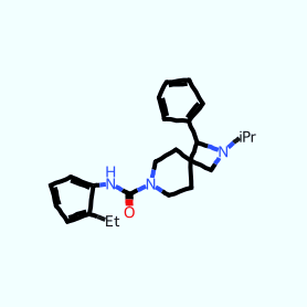 CCc1ccccc1NC(=O)N1CCC2(CC1)CN(C(C)C)C2c1ccccc1